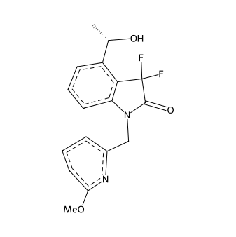 COc1cccc(CN2C(=O)C(F)(F)c3c([C@H](C)O)cccc32)n1